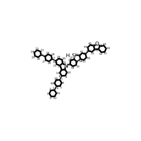 c1ccc(-c2ccc(-c3ccc4c(c3)c3cc(-c5ccc(-c6ccccc6)cc5)ccc3n4-c3ccc4c(c3)[SiH2]c3cc(-c5ccc6oc7ccccc7c6c5)ccc3-4)cc2)cc1